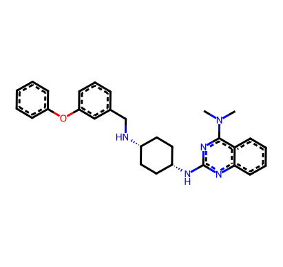 CN(C)c1nc(N[C@H]2CC[C@@H](NCc3cccc(Oc4ccccc4)c3)CC2)nc2ccccc12